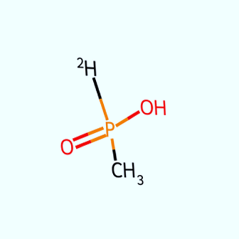 [2H]P(C)(=O)O